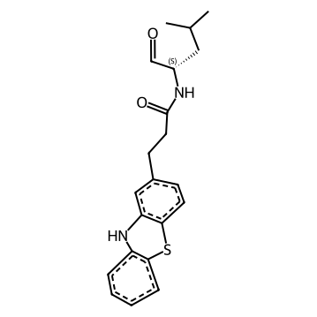 CC(C)C[C@@H](C=O)NC(=O)CCc1ccc2c(c1)Nc1ccccc1S2